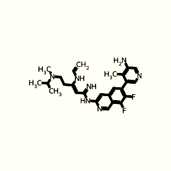 C=CN/C(=C\C(=N)Nc1cc2cc(-c3cncc(N)c3C)c(F)c(F)c2cn1)CCN(C)C(C)C